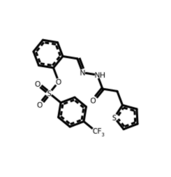 O=C(Cc1cccs1)NN=Cc1ccccc1OS(=O)(=O)c1ccc(C(F)(F)F)cc1